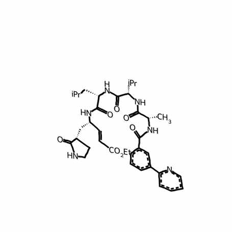 CCOC(=O)/C=C/[C@H](C[C@@H]1CCNC1=O)NC(=O)[C@H](CC(C)C)NC(=O)[C@@H](NC(=O)[C@H](C)NC(=O)c1cccc(-c2ccccn2)c1)C(C)C